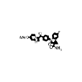 COc1ccn2c(C(=O)c3ccc(N(C(=O)C4(C(N)=O)CC4)c4ccc(F)cc4)cc3)cnc2c1